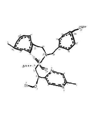 CCO[C@H](c1cnc(C)cn1)[C@H](C)S(=O)(=O)N(Cc1ccc(C)cc1)Cc1ccc(OC)cc1